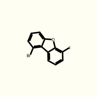 Brc1cccc2oc3c(I)cccc3c12